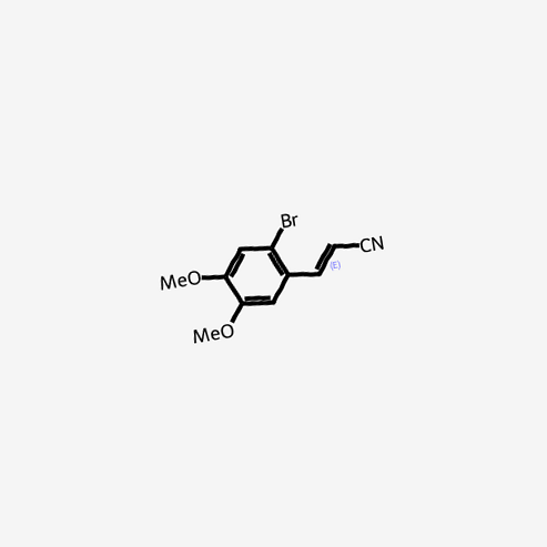 COc1cc(Br)c(/C=C/C#N)cc1OC